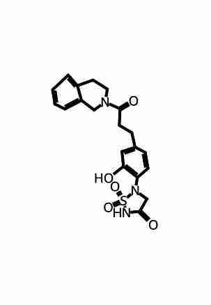 O=C1CN(c2ccc(CCC(=O)N3CCc4ccccc4C3)cc2O)S(=O)(=O)N1